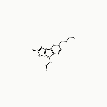 CCCCc1ccc2c(c1)c1cc(C)sc1n2CCC